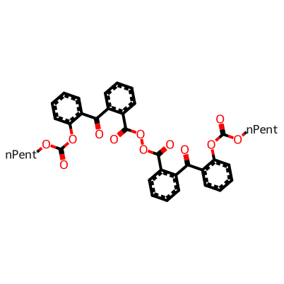 CCCCCOC(=O)Oc1ccccc1C(=O)c1ccccc1C(=O)OOC(=O)c1ccccc1C(=O)c1ccccc1OC(=O)OCCCCC